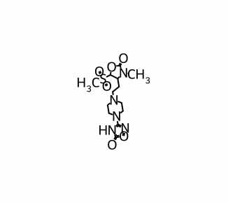 CN1C(=O)OC(S(C)(=O)=O)C1CCN1CCN(c2noc(=O)[nH]2)CC1